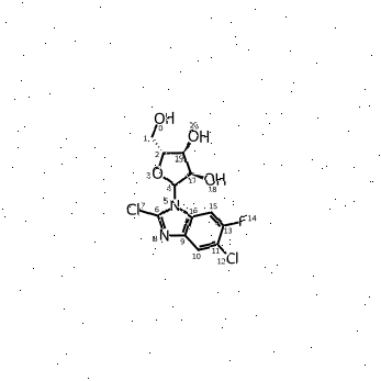 OC[C@H]1OC(n2c(Cl)nc3cc(Cl)c(F)cc32)[C@H](O)[C@@H]1O